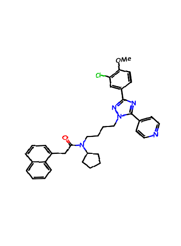 COc1ccc(-c2nc(-c3ccncc3)n(CCCCN(C(=O)Cc3cccc4ccccc34)C3CCCC3)n2)cc1Cl